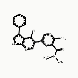 CN(C)C(=O)c1nc(-c2cnc3[nH]cc(-c4ccccc4)c3c2Cl)cnc1N